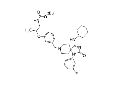 CC(CNC(=O)OC(C)(C)C)Oc1cccc(CN2CCC3(CC2)C(NC2CCCCC2)=NC(=O)N3c2cccc(F)c2)c1